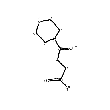 O=C(O)CCC(=O)N1CC[N]CC1